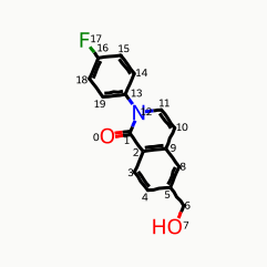 O=c1c2ccc(CO)cc2ccn1-c1ccc(F)cc1